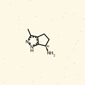 Cc1n[nH]c2c1CC[C@H]2N